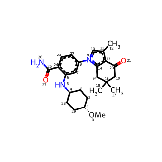 CO[C@H]1CC[C@H](Nc2cc(-n3cc(C)c4c3CC(C)(C)CC4=O)ccc2C(N)=O)CC1